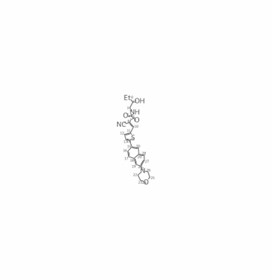 CCC(O)CNS(=O)(=O)/C(C#N)=C/c1ccc(-c2ccc3cc(N4CCOCC4)ccc3c2)s1